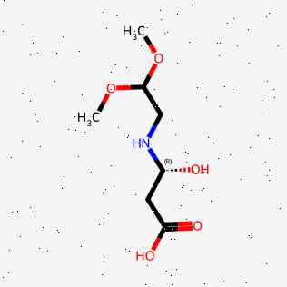 COC(CN[C@H](O)CC(=O)O)OC